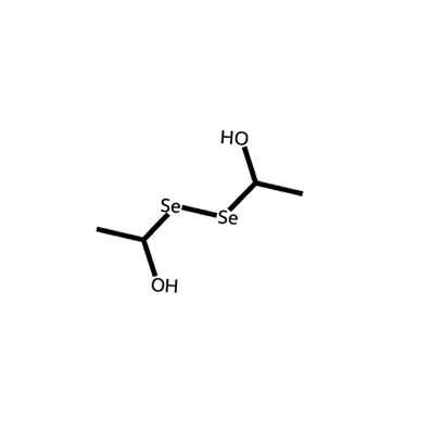 CC(O)[Se][Se]C(C)O